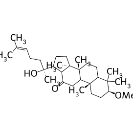 CO[C@H]1CC[C@@]2(C)C(CC[C@]3(C)C2CC(=O)C2C([C@@](C)(O)CCC=C(C)C)CC[C@]23C)C1(C)C